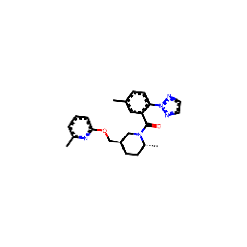 Cc1ccc(-n2nccn2)c(C(=O)N2C[C@H](COc3cccc(C)n3)CC[C@H]2C)c1